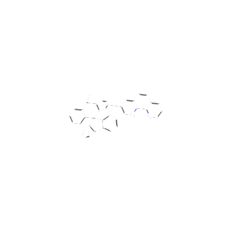 CC1(C)c2ccccc2C2(C3=C(C=CCC3)c3ccccc32)c2cc(-c3cnc4c(ccc5cccnc54)c3)ccc21